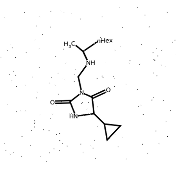 CCCCCCC(C)NCN1C(=O)NC(C2CC2)C1=O